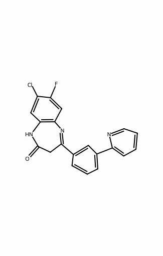 O=C1CC(c2cccc(-c3ccccn3)c2)=Nc2cc(F)c(Cl)cc2N1